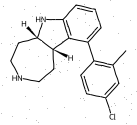 Cc1cc(Cl)ccc1-c1cccc2c1[C@@H]1CCNCC[C@@H]1N2